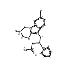 Cc1ccc2c(c1)c1c(n2CC(=CC(=O)O)c2ccccc2)CCN(C)C1